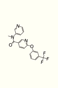 CN(C(=O)c1ccc(Oc2cccc(C(F)(F)F)c2)nc1)c1cccnc1